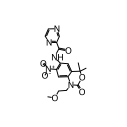 COCCN1C(=O)OC(C)(C)c2cc(NC(=O)c3cnccn3)c([N+](=O)[O-])cc21